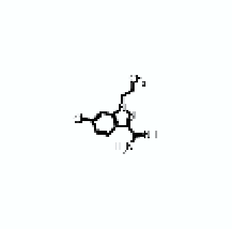 N=C(N)c1nn(CCC(F)(F)F)c2cc(Cl)ccc12